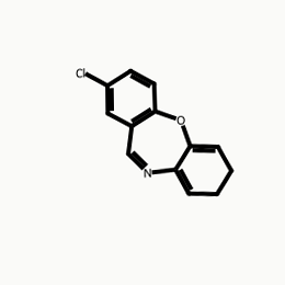 Clc1ccc2c(c1)C=NC1=CCCC=C1O2